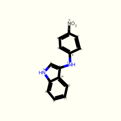 O=[N+]([O-])c1ccc(Nc2c[nH]c3ccccc23)cc1